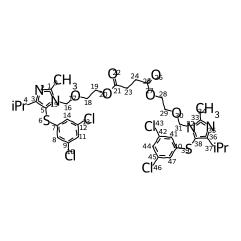 Cc1nc(C(C)C)c(Sc2cc(Cl)cc(Cl)c2)n1COCCOC(=O)CCC(=O)OCCOCn1c(C)nc(C(C)C)c1Sc1cc(Cl)cc(Cl)c1